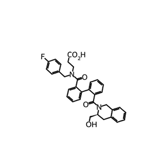 O=C(O)CCN(Cc1ccc(F)cc1)C(=O)c1ccccc1-c1ccccc1C(=O)N1Cc2ccccc2C[C@H]1CO